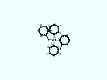 Cc1ccccc1[AsH](Cc1ccccc1)(c1ccccc1)c1ccccc1